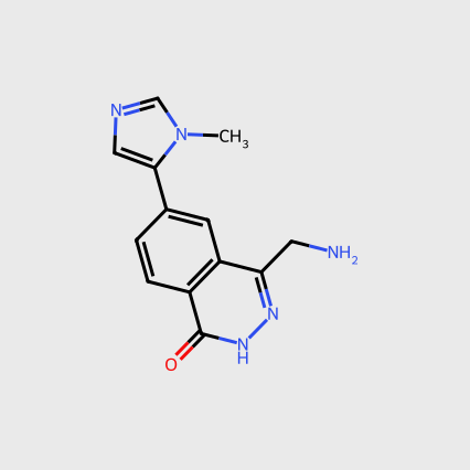 Cn1cncc1-c1ccc2c(=O)[nH]nc(CN)c2c1